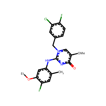 CCOc1cc(Nc2nc(=O)c(OC)cn2Cc2ccc(F)c(Cl)c2)c(C)cc1F